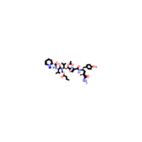 CCCC(=O)OCN(C(=O)[C@@H](NC(=O)[C@H]1CCCCN1C)C(C)C)[C@H](C[C@@H](OC(C)=O)c1nc(C(=O)N[C@@H](Cc2ccc(O)cc2)C[C@H](C)C(N)=O)cs1)C(C)C